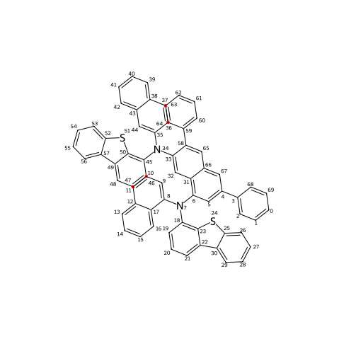 c1ccc(-c2cc(N(c3cccc4ccccc34)c3cccc4c3sc3ccccc34)c3cc(N(c4ccc5ccccc5c4)c4cccc5c4sc4ccccc45)c(-c4ccccc4)cc3c2)cc1